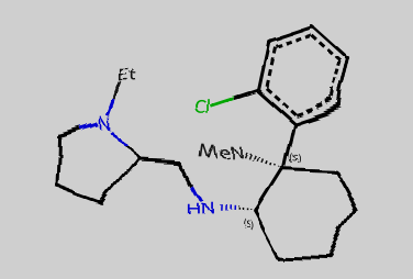 CCN1CCCC1CN[C@H]1CCCC[C@]1(NC)c1ccccc1Cl